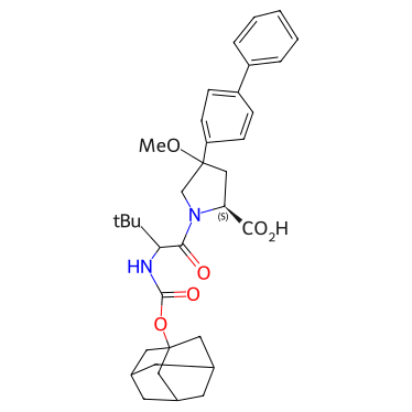 COC1(c2ccc(-c3ccccc3)cc2)C[C@@H](C(=O)O)N(C(=O)C(NC(=O)OC23CC4CC(CC(C4)C2)C3)C(C)(C)C)C1